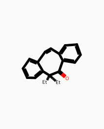 CCC1(CC)C(=O)c2ccccc2/C=C\c2ccccc21